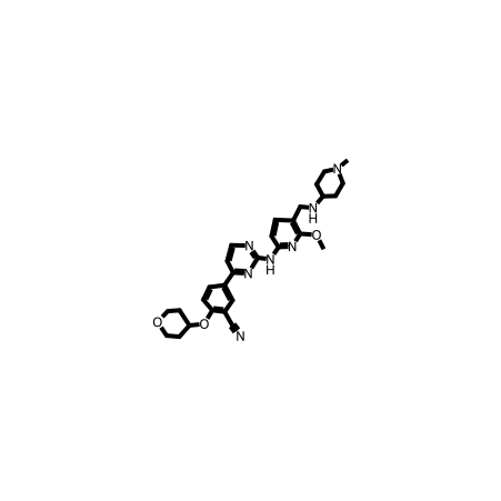 COc1nc(Nc2nccc(-c3ccc(OC4CCOCC4)c(C#N)c3)n2)ccc1CNC1CCN(C)CC1